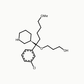 COCCCCC(OCCCO)(c1cccc(Cl)c1)[C@@H]1CCCNC1